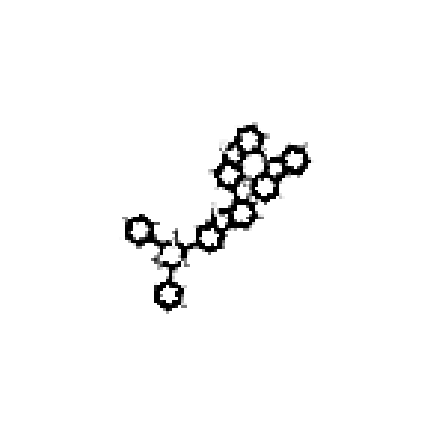 c1ccc(C2N=C(c3ccc4c(c3)oc3c(-c5ccc6oc7cccc(-n8c9ccccc9c9ccccc98)c7c6c5)cccc34)NC(c3ccccc3)N2)cc1